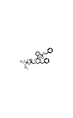 CC(C)(C)OC(=O)COCC(Cc1ccccc1)NC(=O)C1CCCN1C(=O)OCc1ccccc1